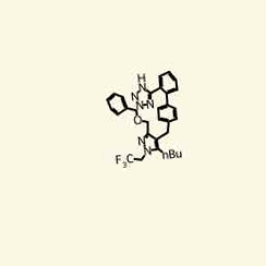 CCCCc1c(Cc2ccc(-c3ccccc3-c3nnn[nH]3)cc2)c(COCc2ccccc2)nn1CC(F)(F)F